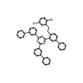 Brc1ccc(Br)c(CCc2ccc(-c3ccccc3)cc2-c2nc(-c3cccc(-c4ccccc4)c3)nc(-c3cccc(-c4ccccc4)c3)n2)c1